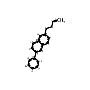 C=CCCc1ccc2cc(-c3ccccc3)ccc2c1